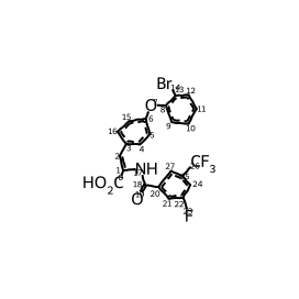 O=C(O)/C(=C/c1ccc(Oc2ccccc2Br)cc1)NC(=O)c1cc(F)cc(C(F)(F)F)c1